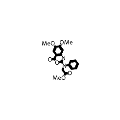 COC(=O)CN(c1ccccc1)c1nc2cc(OC)c(OC)cc2c(=O)o1